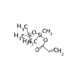 C=CC(=O)O[Si](C)(C)O[Si](C)(C)C